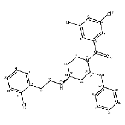 O=C(c1cc(Cl)cc(Cl)c1)N1CC[C@H](NCCc2ccccc2Cl)C[C@H]1Cc1ccccc1